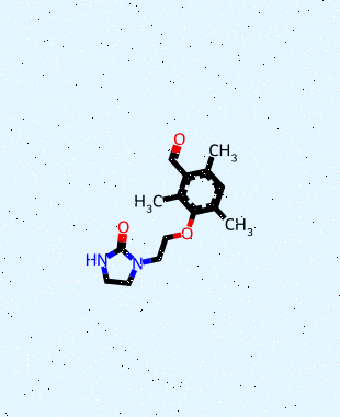 Cc1cc(C)c(OCCN2CCNC2=O)c(C)c1C=O